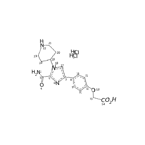 Cl.Cl.NC(=O)c1nc(-c2ccc(OCC(=O)O)cc2)cn1C1CCNCC1